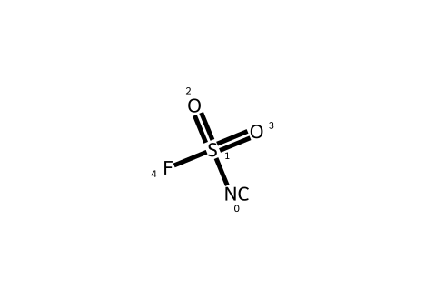 [C-]#[N+]S(=O)(=O)F